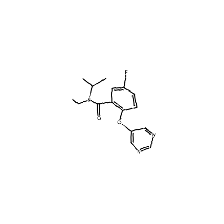 CCN(C(=O)c1cc(F)ccc1Oc1cncnc1)C(C)C